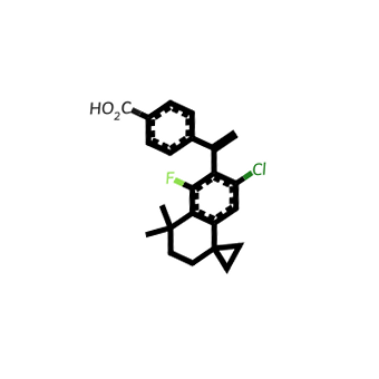 C=C(c1ccc(C(=O)O)cc1)c1c(Cl)cc2c(c1F)C(C)(C)CCC21CC1